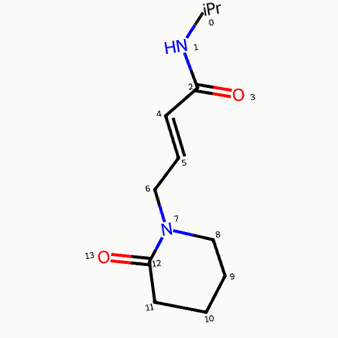 CC(C)NC(=O)/C=C/CN1CCCCC1=O